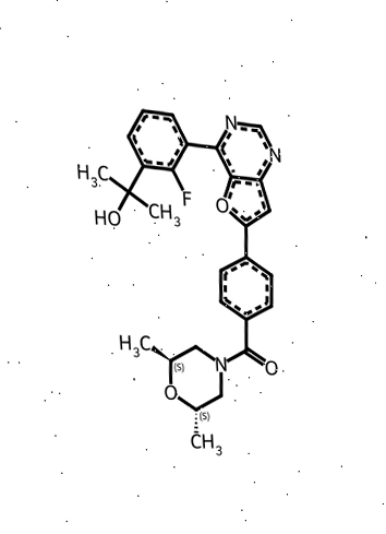 C[C@H]1CN(C(=O)c2ccc(-c3cc4ncnc(-c5cccc(C(C)(C)O)c5F)c4o3)cc2)C[C@H](C)O1